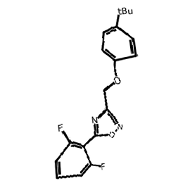 CC(C)(C)c1ccc(OCc2noc(-c3c(F)cccc3F)n2)cc1